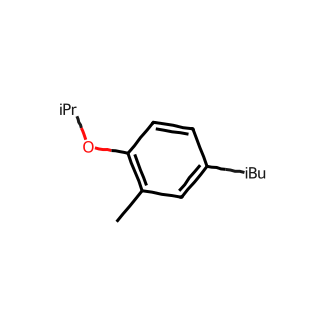 [CH2]C(C)Oc1ccc(C(C)CC)cc1C